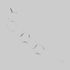 COCCSc1ccc(Oc2ncnc(OC3CCN(OC(=O)OC(C)C)CC3)c2C)c(C)n1